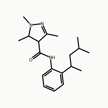 CC1=NN(C)C(C)C1C(=O)Nc1ccccc1C(C)CC(C)C